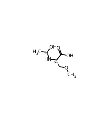 COC[C@H](NB(C)O)C(=O)O